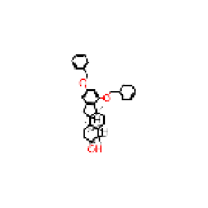 CC1(C)[C@H](O)CC[C@]2(C)[C@@H]1CC[C@]1(C)c3c(cc(OCc4ccccc4)cc3OCc3ccccc3)C[C@@H]21